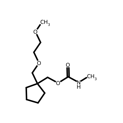 CNC(=O)OCC1(COCCOC)CCCC1